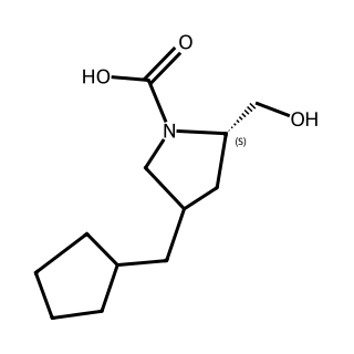 O=C(O)N1CC(CC2CCCC2)C[C@H]1CO